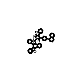 c1ccc2c(-c3ccc(-c4nc(-n5c6ccccc6c6c7c8ccccc8sc7c7ccccc7c65)nc5sc6ccccc6c45)cc3)cccc2c1